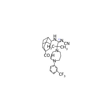 CC(C)(/C(=N\C#N)NC1C2CC3CC1CC(C(=O)O)(C3)C2)N1CCCN(c2cccc(C(F)(F)F)c2)CCC1